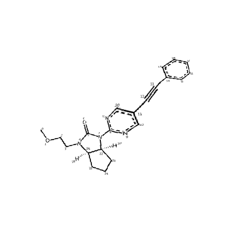 COCCN1C(=O)N(c2ncc(C#Cc3ccccc3)cn2)[C@H]2CCC[C@H]21